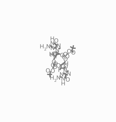 CC(C)(C)C(=O)OCOP1(=O)OC[C@H]2O[C@@H](n3cnc4c(=O)[nH]c(N)nc43)C(F)C2OP(=O)(OCOC(=O)C(C)(C)C)OC[C@H]2O[C@@H](n3cnc4c(=O)[nH]c(N)nc43)C(O1)C2O